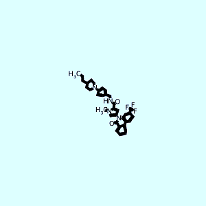 CCCC1CCN(c2ccc(CNC(=O)c3cc(NC(=O)c4ccccc4-c4ccc(C(F)(F)F)cc4)cn3C)cc2)CC1